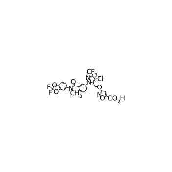 CN(C(=O)c1cccc(-n2nc(C(F)(F)F)c(Cl)c2COc2cc(C(=O)O)on2)c1)c1ccc2c(c1)OC(F)(F)O2